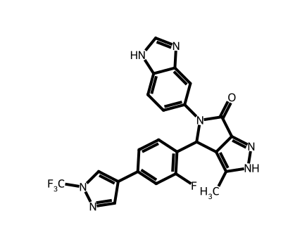 Cc1[nH]nc2c1C(c1ccc(-c3cnn(C(F)(F)F)c3)cc1F)N(c1ccc3[nH]cnc3c1)C2=O